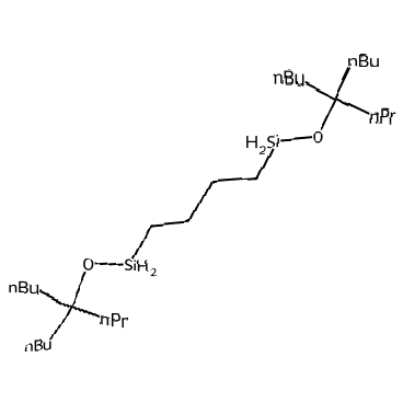 CCCCC(CCC)(CCCC)O[SiH2]CCCC[SiH2]OC(CCC)(CCCC)CCCC